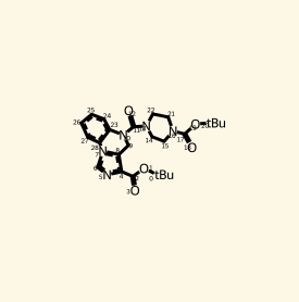 CC(C)(C)OC(=O)c1ncn2c1CN(C(=O)N1CCN(C(=O)OC(C)(C)C)CC1)c1ccccc1-2